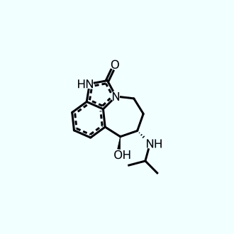 CC(C)N[C@H]1CCn2c(=O)[nH]c3cccc(c32)[C@@H]1O